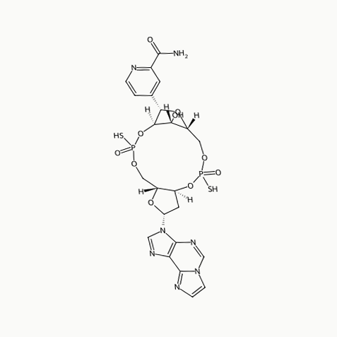 NC(=O)c1cc([C@@H]2O[C@@H]3COP(=O)(S)O[C@H]4C[C@H](n5cnc6c5ncn5ccnc65)O[C@@H]4COP(=O)(S)O[C@@H]2[C@@H]3O)ccn1